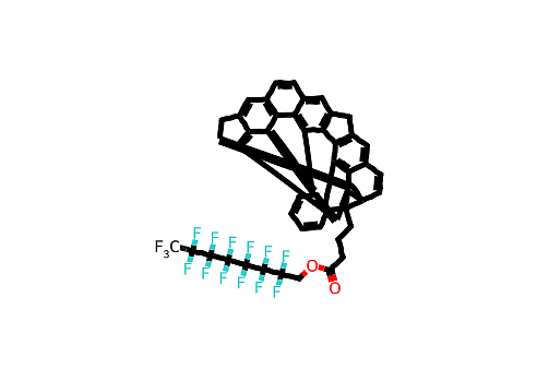 O=C(CCCC1(c2ccccc2)C23C=Cc4cc5c6c7c4C21c1c2c4c(cc8ccc9cc(c6c6c9c8c4c6c17)C5)CC2=C3)OCC(F)(F)C(F)(F)C(F)(F)C(F)(F)C(F)(F)C(F)(F)C(F)(F)F